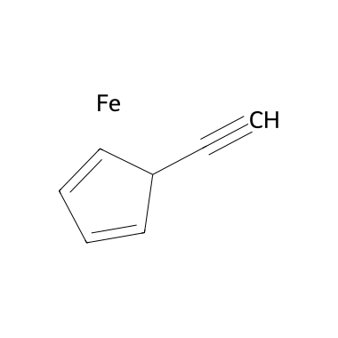 C#CC1C=CC=C1.[Fe]